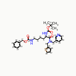 CC(C)(C)OC(=O)NC(CCCCNC(=O)OCc1ccccc1)C(=O)N(Cc1cccnc1)Cc1cccs1